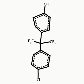 Oc1ccc(C(c2ccc(Cl)cc2)(C(F)(F)F)C(F)(F)F)cc1